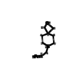 CCCCCCN1CCC2(CC1)COC2